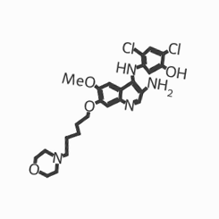 COc1cc2c(Nc3cc(O)c(Cl)cc3Cl)c(N)cnc2cc1OCCCCCN1CCOCC1